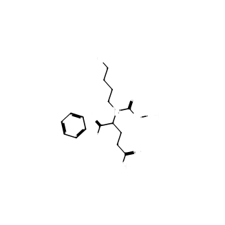 CCCCCN(C(=O)OC)C(CCC(=O)O)C(=O)O.c1ccccc1